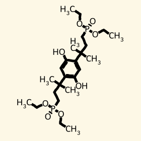 CCOP(=O)(CCC(C)(C)c1cc(O)c(C(C)(C)CCP(=O)(OCC)OCC)cc1O)OCC